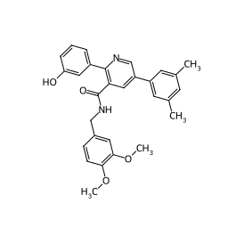 COc1ccc(CNC(=O)c2cc(-c3cc(C)cc(C)c3)cnc2-c2cccc(O)c2)cc1OC